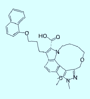 COc1ccc2c(CCCOc3cccc4ccccc34)c(C(=O)O)n3c2c1-c1c(nn(C)c1C)COCCCC3